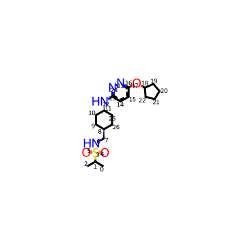 CC(C)S(=O)(=O)NC[C@H]1CC[C@H](Nc2ccc(OC3CCCC3)nn2)CC1